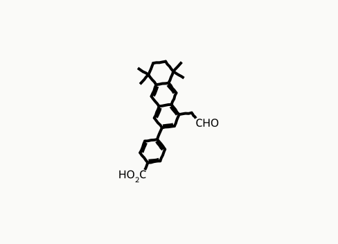 CC1(C)CCC(C)(C)c2cc3c(CC=O)cc(-c4ccc(C(=O)O)cc4)cc3cc21